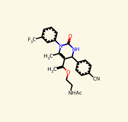 C=C(OCCNC(C)=O)C1=C(C)N(c2cccc(C(F)(F)F)c2)C(=O)NC1c1ccc(C#N)cc1